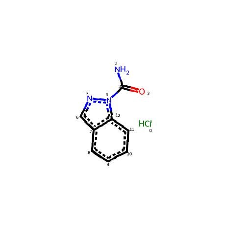 Cl.NC(=O)n1ncc2c[c]ccc21